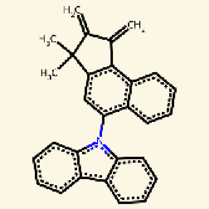 C=C1C(=C)C(C)(C)c2cc(-n3c4ccccc4c4ccccc43)c3ccccc3c21